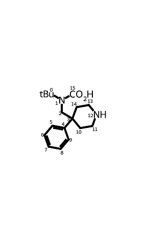 CC(C)(C)N(CC1(c2ccccc2)CCNCC1)C(=O)O